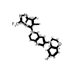 Cc1c(N2CCc3ncc(N4CCOc5ccc(F)cc54)cc3C2)nn2c(C(F)(F)F)nnc2c1C